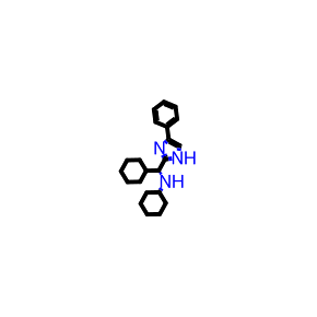 c1ccc(-c2c[nH]c([C@@H](NC3CCCCC3)C3CCCCC3)n2)cc1